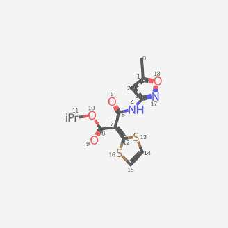 Cc1cc(NC(=O)C(C(=O)OC(C)C)=C2SC=CS2)no1